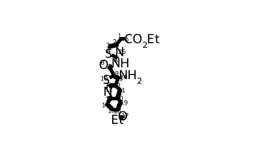 CCOC(=O)Cc1csc(NC(=O)c2sc3nc4ccc(OCC)cc4cc3c2N)n1